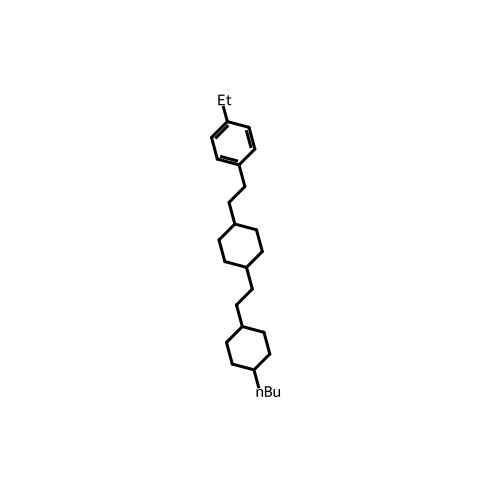 CCCCC1CCC(CCC2CCC(CCc3ccc(CC)cc3)CC2)CC1